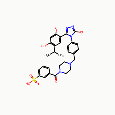 CC(C)c1cc(-c2nnc(O)n2-c2ccc(CN3CCN(C(=O)c4cccc(S(=O)(=O)O)c4)CC3)cc2)c(O)cc1O